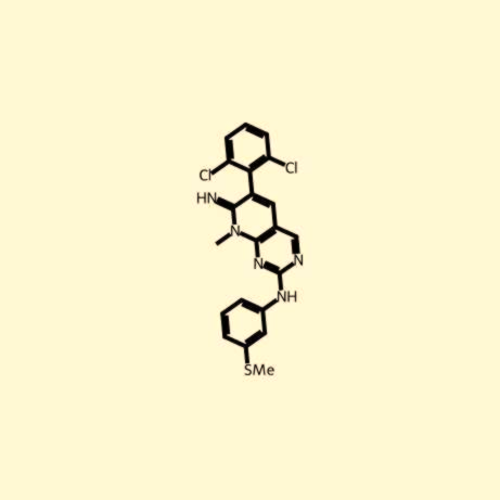 CSc1cccc(Nc2ncc3cc(-c4c(Cl)cccc4Cl)c(=N)n(C)c3n2)c1